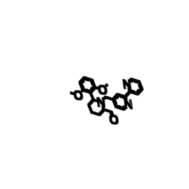 COc1cccc(OC)c1C1CCCC(C=O)N1Cc1ccnc(-c2ccccn2)c1